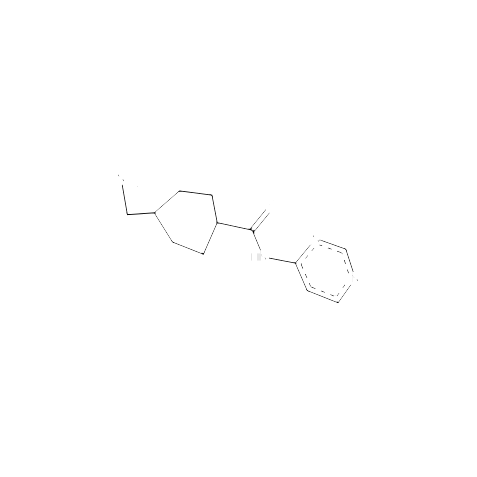 NCC1CCC(C(=O)Nc2ccncn2)CC1